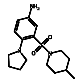 CC1CCN(S(=O)(=O)c2cc(N)ccc2N2CCCC2)CC1